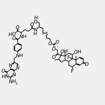 CC1CC2C3CC(F)C4=CC(=O)C=CC4(C)C3(F)C(O)CC2(C)C1(O)C(=O)COC(=O)OCCSSCC(CO)NC(=O)CCC(NC(=O)c1ccc(NCc2cnc3nc(N)[nH]c(=O)c3n2)cc1)C(=O)O